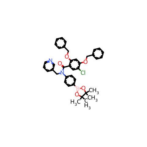 CC1(C)OB(c2ccc(N(Cc3cccnc3)C(=O)c3cc(Cl)c(OCc4ccccc4)cc3OCc3ccccc3)cc2)OC1(C)C